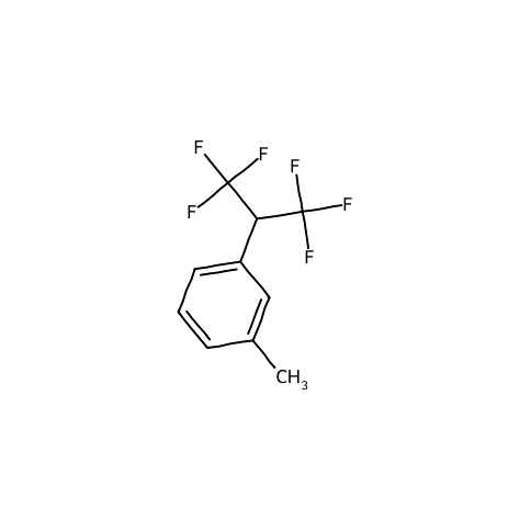 Cc1cccc(C(C(F)(F)F)C(F)(F)F)c1